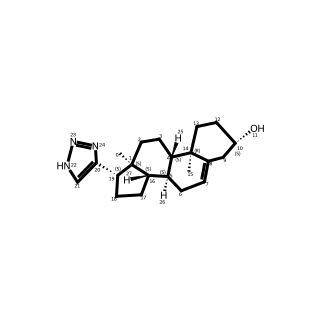 C[C@]12CC[C@H]3[C@@H](CC=C4C[C@@H](O)CC[C@@]43C)[C@@H]1CC[C@@H]2c1c[nH]nn1